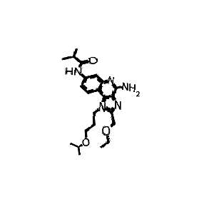 CCOCc1nc2c(N)nc3cc(NC(=O)C(C)C)ccc3c2n1CCCOC(C)C